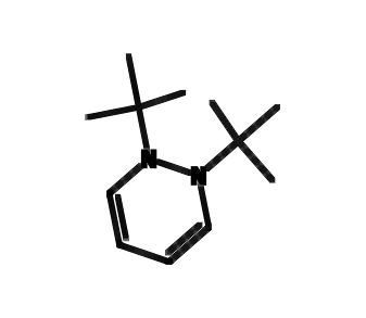 CC(C)(C)N1C=CC=CN1C(C)(C)C